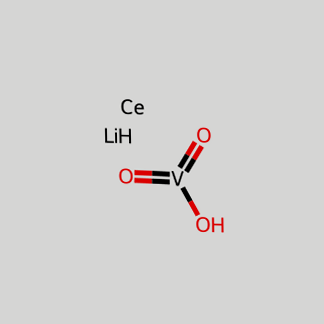 [Ce].[LiH].[O]=[V](=[O])[OH]